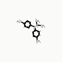 Cc1ccc([S+](c2ccc(C)cc2)N(C)C)cc1